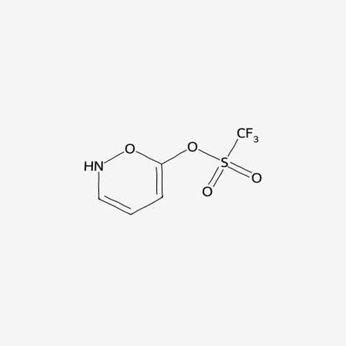 O=S(=O)(OC1=CC=CNO1)C(F)(F)F